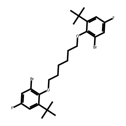 CC(C)(C)c1cc(F)cc(Br)c1OCCCCCCOc1c(Br)cc(F)cc1C(C)(C)C